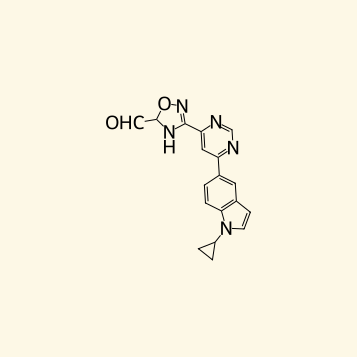 O=CC1NC(c2cc(-c3ccc4c(ccn4C4CC4)c3)ncn2)=NO1